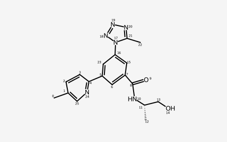 Cc1ccc(-c2cc(C(=O)N[C@@H](C)CO)cc(-n3nnnc3C)c2)nc1